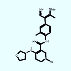 CN/C(C)=C(\C=N)c1ccc(NC(=N)C2=C(N[C@H]3CCOC3)CCN(C(C)=O)C2)c(F)c1